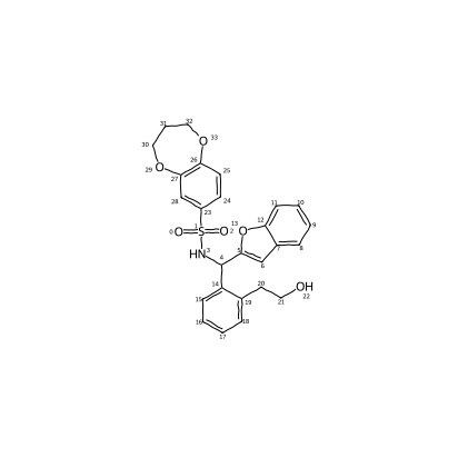 O=S(=O)(NC(c1cc2ccccc2o1)c1ccccc1CCO)c1ccc2c(c1)OCCCO2